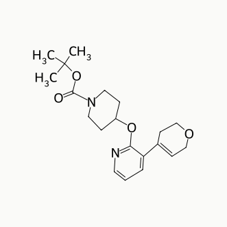 CC(C)(C)OC(=O)N1CCC(Oc2ncccc2C2=CCOCC2)CC1